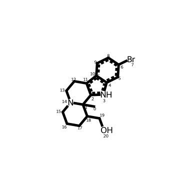 CC12c3[nH]c4cc(Br)ccc4c3CCN1CCCC2CO